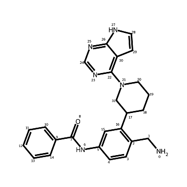 NCc1ccc(NC(=O)c2ccccc2)cc1C1CCCN(c2ncnc3[nH]ccc23)C1